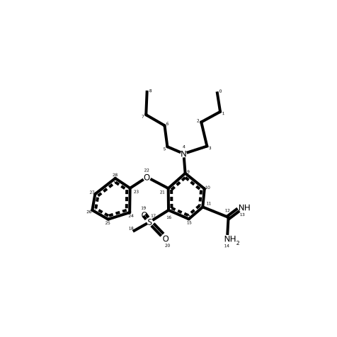 CCCCN(CCCC)c1cc(C(=N)N)cc(S(C)(=O)=O)c1Oc1ccccc1